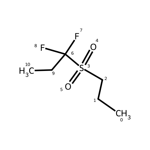 CCCS(=O)(=O)C(F)(F)CC